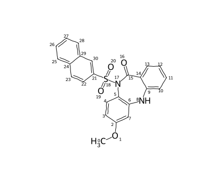 COc1ccc2c(c1)Nc1ccccc1C(=O)N2S(=O)(=O)c1ccc2ccccc2c1